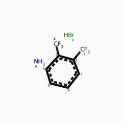 Br.FC(F)(F)c1ccccc1C(F)(F)F.N